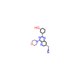 N#CCc1cnc2c(N3CCOCC3)nc(-c3cccc(O)c3)nc2c1